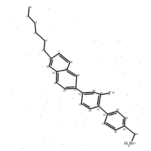 CCCCCCc1ccc2cc(-c3ccc(-c4ccc(CN)cc4)c(F)c3)ccc2c1